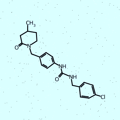 CC1CCN(Cc2ccc(NC(=O)NCc3ccc(Cl)cc3)cc2)C(=O)C1